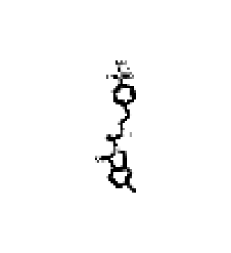 Cc1ccc2c(c1)CN(C(=O)NCCc1ccc(S(N)(=O)=O)cc1)C2=O